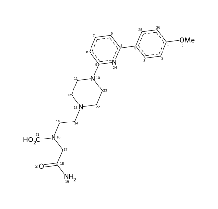 COc1ccc(-c2cccc(N3CCN(CCN(CC(N)=O)C(=O)O)CC3)n2)cc1